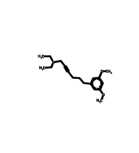 CCN(CC)CC#CCCCc1cc(OC)cc(OC)c1